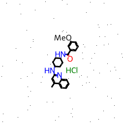 COc1cccc(C(=O)NC2CCC(Nc3cc(C)c4ccccc4n3)CC2)c1.Cl